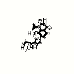 CNC(CC#N)C1CCN(c2ccc3c(=O)[nH]c(=O)n(C4CC4)c3c2C)C1